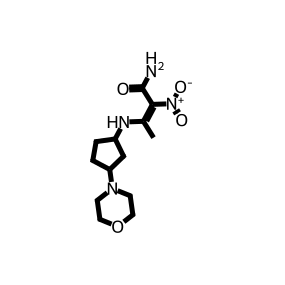 C/C(NC1CCC(N2CCOCC2)C1)=C(/C(N)=O)[N+](=O)[O-]